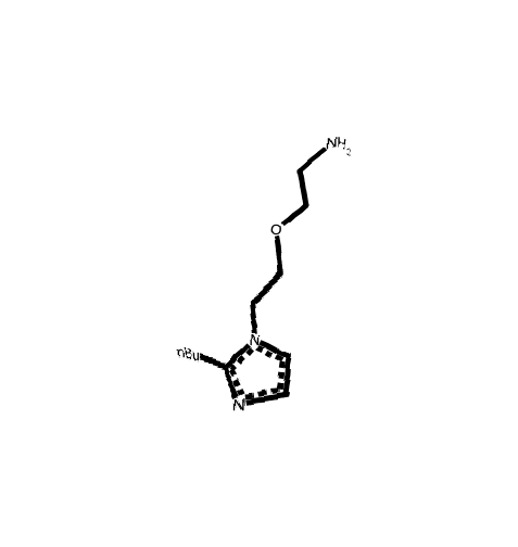 CCCCc1nccn1CCOCCN